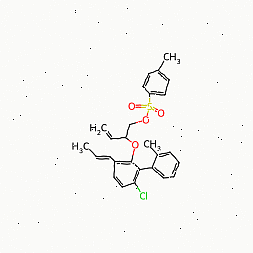 C=CC(COS(=O)(=O)c1ccc(C)cc1)Oc1c(C=CC)ccc(Cl)c1-c1ccccc1C